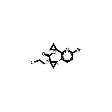 O=C(Cl)[C@]1(CCCl)C[C@H]1c1ccc(Br)nc1C1CC1